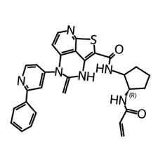 C=CC(=O)N[C@@H]1CCCC1NC(=O)c1sc2nccc3c2c1[nH]c(=C)n3-c1ccnc(-c2ccccc2)c1